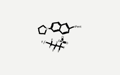 CCCCCc1ccc2cc([S+]3CCCC3)ccc2c1.O=S(=O)([O-])C(F)(F)C(F)(F)C(F)(F)C(F)(F)F